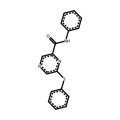 O=C(Nc1ccccc1)c1cncc(Sc2ccccc2)n1